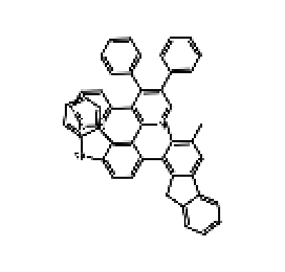 Cc1cc2c(c(-c3ccc4[se]c5ccccc5c4c3-c3ncc(-c4ccccc4)c(-c4ccccc4)c3-c3ccnnn3)c1C)Cc1ccccc1-2